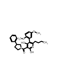 CCCCc1nc(O)c(C(=O)N2CCC(c3ccccc3)C2)c(O)c1-c1cc(OC)ccc1OC